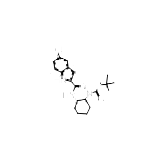 CC(C)(C)OC(=O)N[C@H]1CCCC[C@H]1NC(=O)c1cc2cc(Cl)ccc2[nH]1